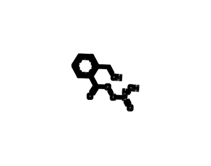 O=C(OO[PH](=O)O)c1ccccc1CO